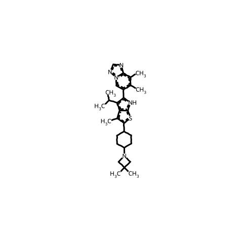 Cc1c(-c2[nH]c3sc(C4CCC(N5CC(C)(C)C5)CC4)c(C)c3c2C(C)C)cn2ncnc2c1C